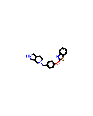 c1ccc2sc(Oc3ccc(CN4CCC5CNCC5C4)cc3)nc2c1